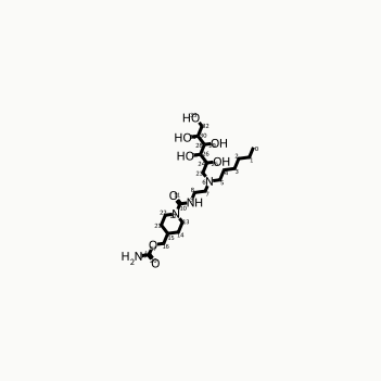 CCCCCCN(CCNC(=O)N1CCC(COC(N)=O)CC1)CC(O)C(O)C(O)C(O)CO